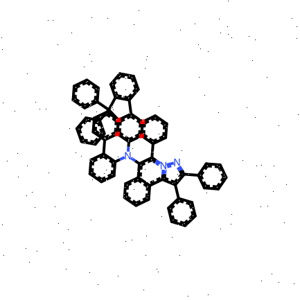 c1ccc(-c2ccccc2N(c2ccc3c(c2)C(c2ccccc2)(c2ccccc2)c2ccccc2-3)c2c(-c3ccccc3)n3nc(-c4ccccc4)c(-c4ccccc4)c3c3ccccc23)cc1